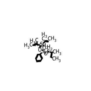 CC=C(C)[SiH2]O[Si](O[SiH2]C(C)=CC)(O[SiH2]C(C)=CC)c1ccccc1